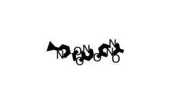 Cc1cnc2ccc(Oc3cnc4c(c3)OC[C@H](c3ccc(C5CC5)nc3)O4)cn2c1=O